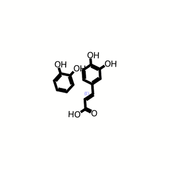 O=C(O)/C=C/c1ccc(O)c(O)c1.Oc1ccccc1O